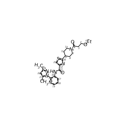 CCOCCC(=O)N1CCC(c2nc(C(=O)Nc3cccnc3-n3nc(C)cc3C)cs2)CC1